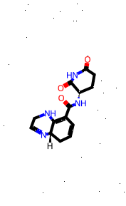 O=C1CC[C@H](NC(=O)C2=C3NCC=N[C@H]3CC=C2)C(=O)N1